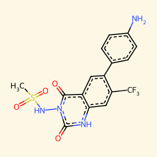 CS(=O)(=O)Nn1c(=O)[nH]c2cc(C(F)(F)F)c(-c3ccc(N)cc3)cc2c1=O